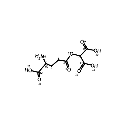 N[C@@H](CCC(=O)OC(C(=O)O)C(=O)O)C(=O)O